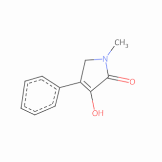 CN1CC(c2ccccc2)=C(O)C1=O